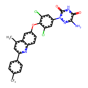 Cc1cc(-c2ccc(C(F)(F)F)cc2)nc2ccc(Oc3c(Cl)cc(-n4nc(N)c(=O)[nH]c4=O)cc3Cl)cc12